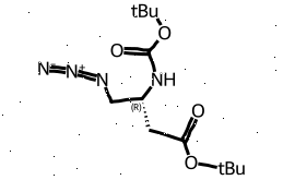 CC(C)(C)OC(=O)C[C@H](CN=[N+]=[N-])NC(=O)OC(C)(C)C